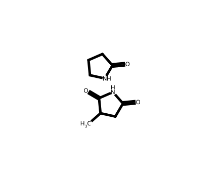 CC1CC(=O)NC1=O.O=C1CCCN1